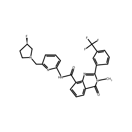 Cn1c(-c2cccc(C(F)(F)F)c2)nc2c(C(=O)Nc3cccc(CN4CC[C@@H](F)C4)n3)cccc2c1=O